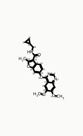 COc1cc2ncnc(Oc3ccc4c(C(=O)NCC5CC5)c(C)oc4c3)c2cc1OC